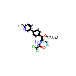 CCOC(=O)O[C@H](c1ccc(-c2ccc(C#N)nc2)cc1)[C@@H](CF)NC(=O)C(Cl)Cl